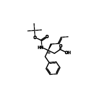 CC=CC[C@@](CC(=O)O)(Cc1ccccc1)NC(=O)OC(C)(C)C